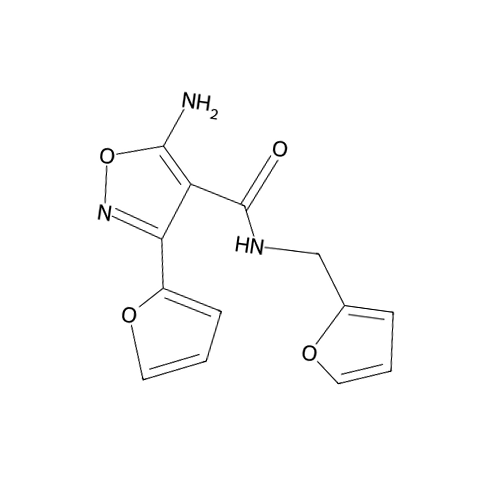 Nc1onc(-c2ccco2)c1C(=O)NCc1ccco1